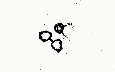 P[C]12[CH]3[CH]4[CH]5[C]1(P)[Fe]43521678[CH]2[CH]1[CH]6[CH]7[CH]28.c1ccc(-c2ccccc2)cc1